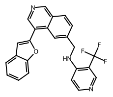 FC(F)(F)c1cnccc1NCc1ccc2cncc(-c3cc4ccccc4o3)c2c1